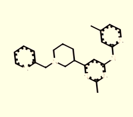 Cc1ccnc(Nc2cc(C3CCCN(Cc4ccccn4)C3)nc(C)n2)c1